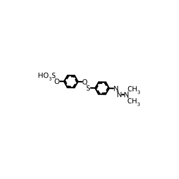 CN(C)N=Nc1ccc(SOc2ccc(OS(=O)(=O)O)cc2)cc1